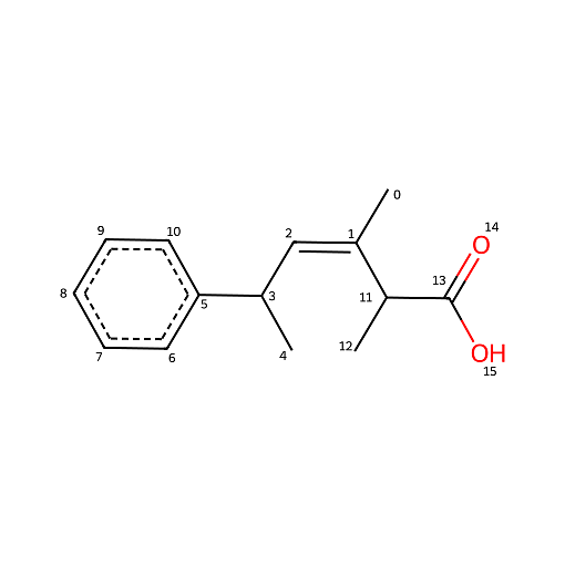 CC(=CC(C)c1ccccc1)C(C)C(=O)O